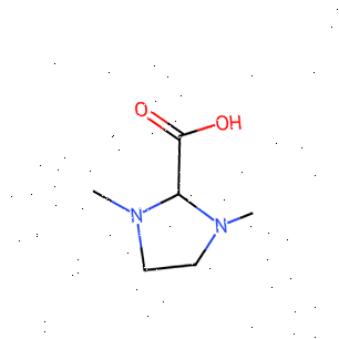 CN1CCN(C)C1C(=O)O